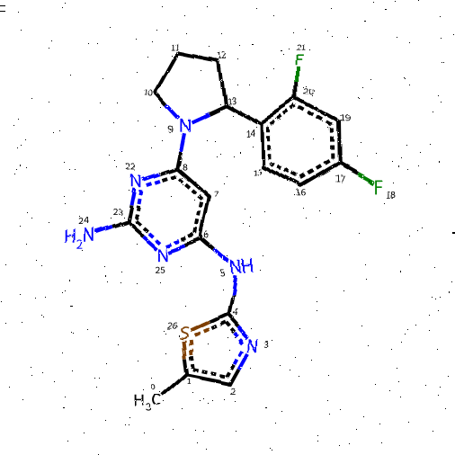 Cc1cnc(Nc2cc(N3CCCC3c3ccc(F)cc3F)nc(N)n2)s1